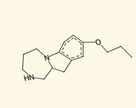 CCCOc1ccc2c(c1)CC1CNCCCN21